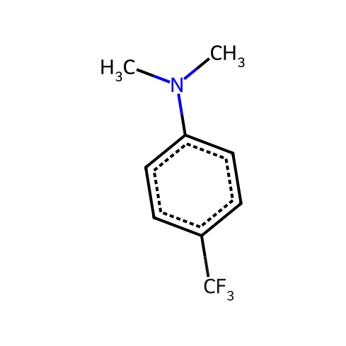 CN(C)c1ccc(C(F)(F)F)cc1